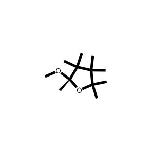 CO[C@@]1(C)OC(C)(C)C(C)(C)C1(C)C